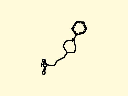 O=[SH](=O)CCCC1CCN(c2cc[c]cc2)CC1